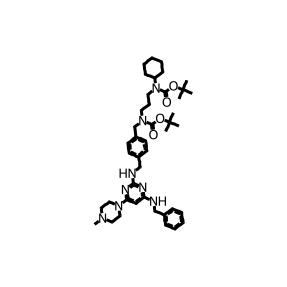 CN1CCN(c2cc(NCc3ccccc3)nc(NCc3ccc(CN(CCCN(C(=O)OC(C)(C)C)C4CCCCC4)C(=O)OC(C)(C)C)cc3)n2)CC1